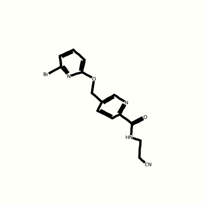 N#CCCNC(=O)c1ccc(COc2cccc(Br)n2)cn1